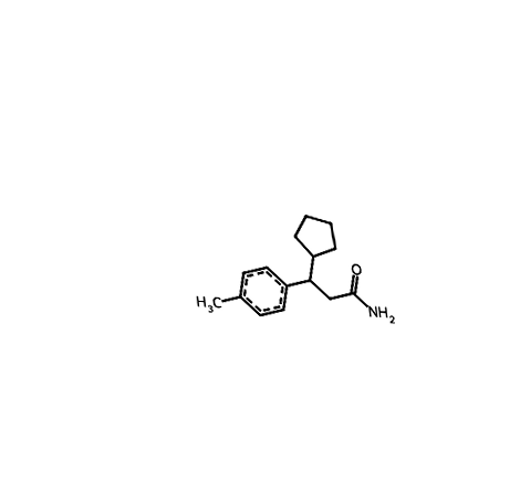 Cc1ccc(C(CC(N)=O)C2CCCC2)cc1